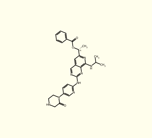 CC(C)Nc1nc([C@@H](C)OC(=O)c2ccccc2)cc2cnc(Nc3ccc(N4CCNCC4=O)cn3)nc12